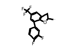 [CH2]C1Cc2cc(C(F)(F)F)cc(-c3ccc(F)c(F)c3)c2O1